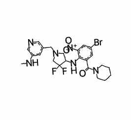 CNc1cncc(CN2CC(Nc3c(C(=O)N4CCCCC4)cc(Br)cc3[N+](=O)[O-])C(F)(F)C2)c1